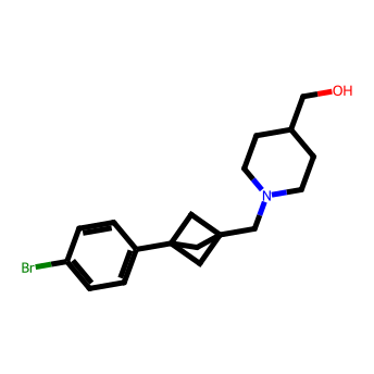 OCC1CCN(CC23CC(c4ccc(Br)cc4)(C2)C3)CC1